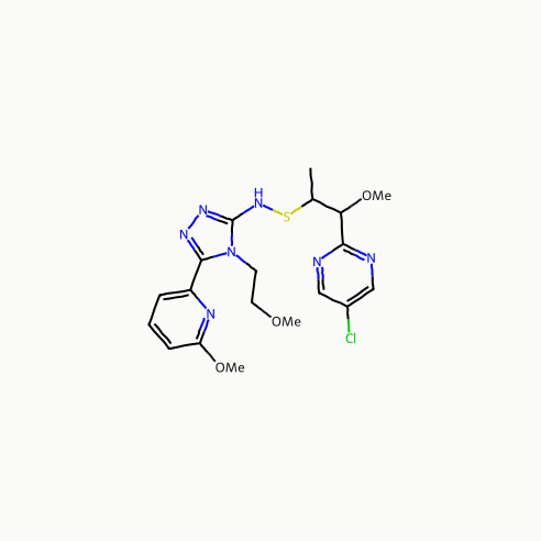 COCCn1c(NSC(C)C(OC)c2ncc(Cl)cn2)nnc1-c1cccc(OC)n1